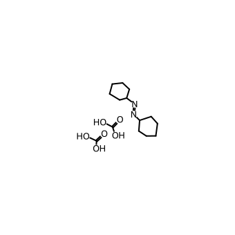 C1CCC(N=NC2CCCCC2)CC1.O=C(O)O.O=C(O)O